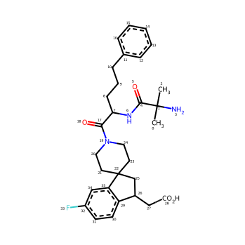 CC(C)(N)C(=O)NC(CCCc1ccccc1)C(=O)N1CCC2(CC1)CC(CC(=O)O)c1ccc(F)cc12